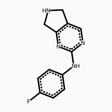 Fc1ccc(Nc2ncc3c(n2)CNC3)cc1